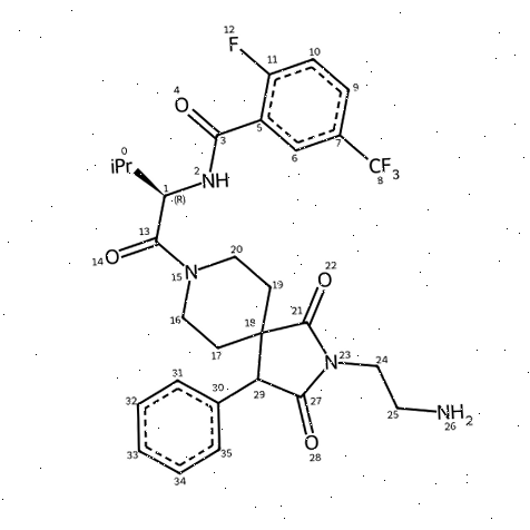 CC(C)[C@@H](NC(=O)c1cc(C(F)(F)F)ccc1F)C(=O)N1CCC2(CC1)C(=O)N(CCN)C(=O)C2c1ccccc1